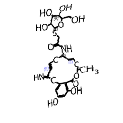 C[C@@H]1C/C=C/[C@H](NC(=O)CS[C@H]2OC(CO)[C@H](O)C(O)C2O)C/C=C/C(=N)Cc2cc(O)cc(O)c2C(=O)O1